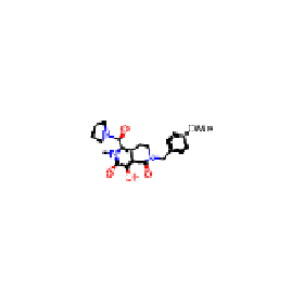 COc1ccc(CN2CCc3c(c(O)c(=O)n(C)c3C(=O)N3CCCC3)C2=O)cc1